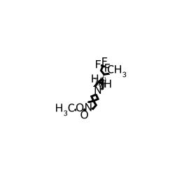 CCOC(=O)N1CCC2(CC(N3C[C@@H]4[C@H](C3)[C@H]4C(CC)CC(F)(F)F)C2)C1